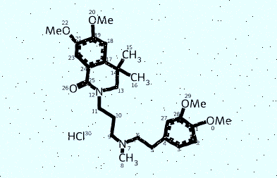 COc1ccc(CCN(C)CCCN2CC(C)(C)c3cc(OC)c(OC)cc3C2=O)cc1OC.Cl